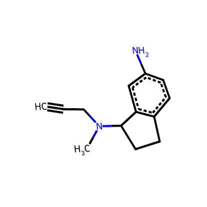 C#CCN(C)C1CCc2ccc(N)cc21